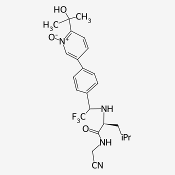 CC(C)C[C@H](NC(c1ccc(-c2ccc(C(C)(C)O)[n+]([O-])c2)cc1)C(F)(F)F)C(=O)NCC#N